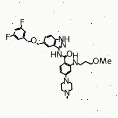 COCCCNc1cc(N2CCN(C)CC2)ccc1C(=O)Nc1n[nH]c2ccc(COCc3cc(F)cc(F)c3)cc12